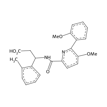 COc1ccccc1-c1nc(C(=O)NC(CC(=O)O)c2ccccc2C)ccc1OC